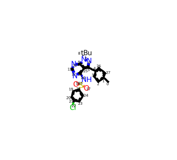 Cc1ccc(-c2nn(C(C)(C)C)c3ncnc(NS(=O)(=O)c4ccc(Cl)cc4)c23)cc1